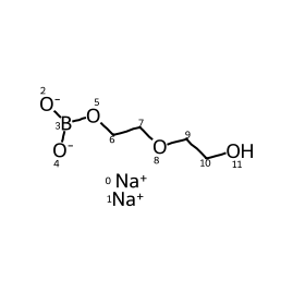 [Na+].[Na+].[O-]B([O-])OCCOCCO